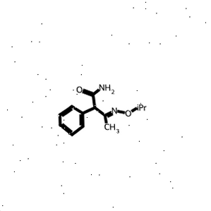 C/C(=N\OC(C)C)C(C(N)=O)c1ccccc1